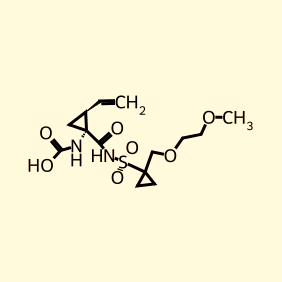 C=C[C@@H]1C[C@]1(NC(=O)O)C(=O)NS(=O)(=O)C1(COCCOC)CC1